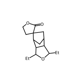 CCC1OC(CC)C2C1C1CC2C2(CCOC2=O)C1